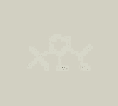 CCS(=O)(=O)c1cccc(C(N)=O)c1OC